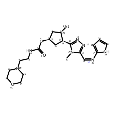 CC[C@@H]1C[C@H](OC(=O)NCCN2CCOCC2)C[C@@H]1c1nnc(/C=N\c2ccc[nH]2)n1C